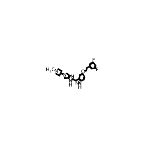 CN1CCC(N2Cc3nc(-c4n[nH]c5ccc(OCCc6cc(F)cc(F)c6)cc45)[nH]c3C2)CC1